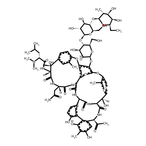 CC[C@H]1O[C@@H](O[C@H]2[C@H](O)[C@@H](O)[C@H](O[C@H]3[C@H](O)[C@@H](O)[C@H](Oc4c5cc6cc4Oc4ccc(cc4C)[C@@H](O)[C@@H](NC(=O)[C@@H](CC(C)C)N(C)C)C(=O)N[C@@H](CC(N)=O)C(=O)N[C@H]6C(=O)N[C@H]4C(=O)N[C@H](C(=O)N[C@@H](C(C)=O)c6cc(O)c(C)c(O)c6-c6cc4ccc6O)[C@H](O)c4ccc(c(C)c4)O5)O[C@@H]3CO)O[C@@H]2CO)[C@H](C)[C@@H](O)[C@H]1O